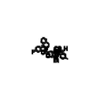 CCS[C@H]1CO[C@@H](C(=O)N2CCc3ccccc3[C@@H]2c2ccc(F)cc2)C[C@@H]1N(C(=O)O)S(=O)(=O)c1ccc(C)cc1